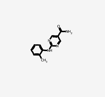 Cc1ccccc1Nc1ncc(C(N)=O)cn1